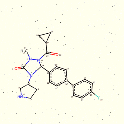 CN1C(=O)N(C2CCNC2)C(c2ccc(-c3ccc(F)cc3)cc2)N1C(=O)C1CC1